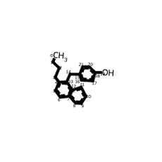 CCCCc1ccc2ccccc2c1Cc1ccc(O)cc1